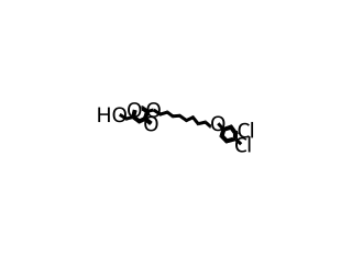 O=c1cc(CO)occ1OCCCCCCCCCOc1ccc(Cl)c(Cl)c1